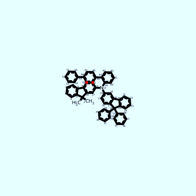 CC1(C)c2ccccc2-c2ccc(N(c3ccc4c(c3)-c3ccccc3C4(c3ccccc3)c3ccccc3)c3ccccc3-c3ccc(-c4ccccc4)cc3)cc21